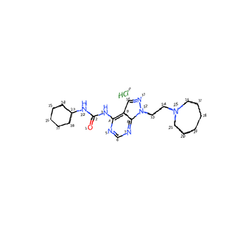 Cl.O=C(Nc1ncnc2c1cnn2CCN1CCCCCC1)NC1CCCCC1